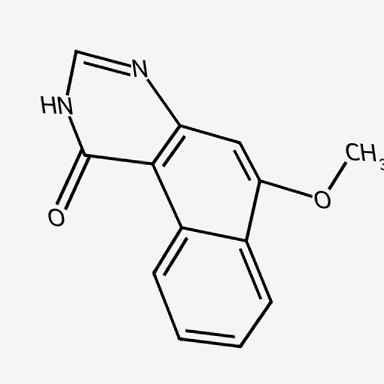 COc1cc2nc[nH]c(=O)c2c2ccccc12